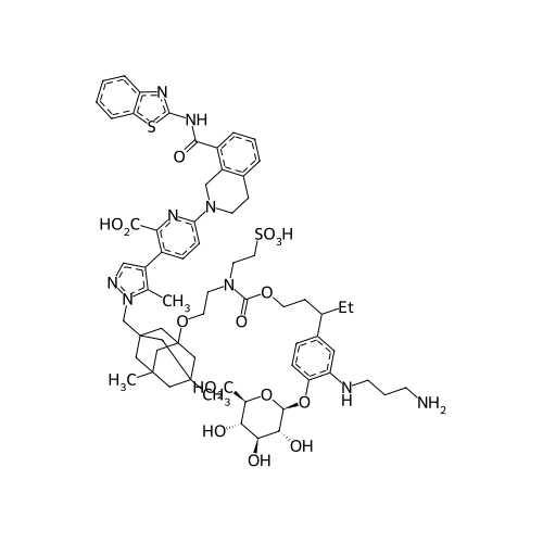 CCC(CCOC(=O)N(CCOC12CC3(C)CC(C)(CC(Cn4ncc(-c5ccc(N6CCc7cccc(C(=O)Nc8nc9ccccc9s8)c7C6)nc5C(=O)O)c4C)(C3)C1)C2)CCS(=O)(=O)O)c1ccc(O[C@@H]2O[C@H](C(=O)O)[C@@H](O)[C@H](O)[C@H]2O)c(NCCCN)c1